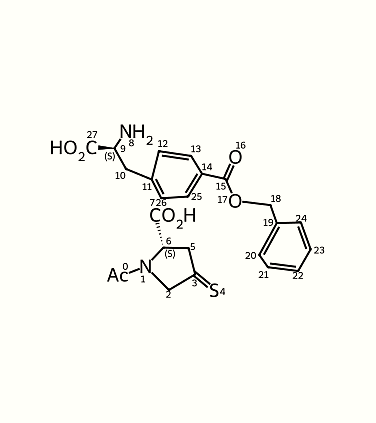 CC(=O)N1CC(=S)C[C@H]1C(=O)O.N[C@@H](Cc1ccc(C(=O)OCc2ccccc2)cc1)C(=O)O